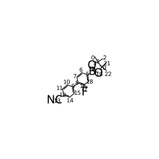 CC1(C)OB(c2ccc(-c3ccc(C#N)cc3)c(F)c2)OC1(C)C